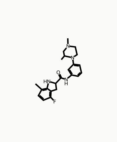 Cc1ccc(F)c2c1NC(C(=O)Nc1cccc(N3CCN(C)CC3C)c1)C2